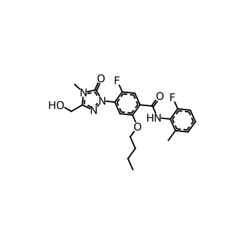 CCCCOc1cc(-n2nc(CO)n(C)c2=O)c(F)cc1C(=O)Nc1c(C)cccc1F